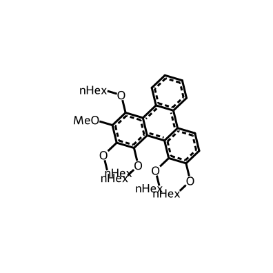 CCCCCCOc1ccc2c3ccccc3c3c(OCCCCCC)c(OC)c(OCCCCCC)c(OCCCCCC)c3c2c1OCCCCCC